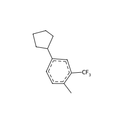 Cc1ccc(C2CCCC2)cc1C(F)(F)F